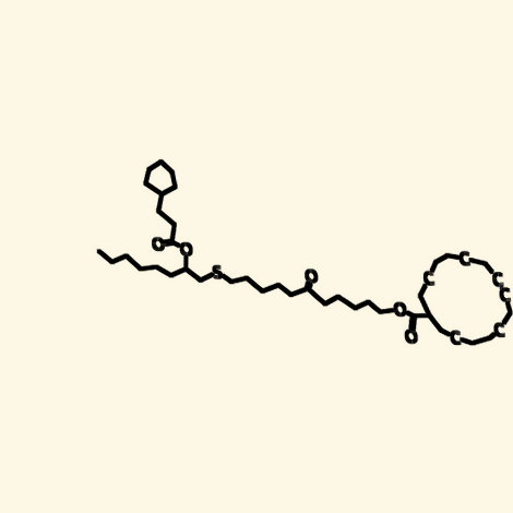 CCCCCCC(CSCCCCCC(=O)CCCCCOC(=O)C1CCCCCCCCCCCCCC1)OC(=O)CCC1CCCCC1